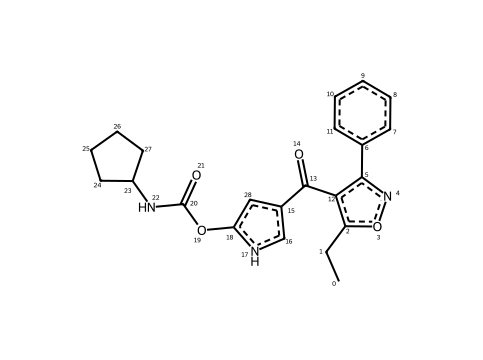 CCc1onc(-c2ccccc2)c1C(=O)c1c[nH]c(OC(=O)NC2CCCC2)c1